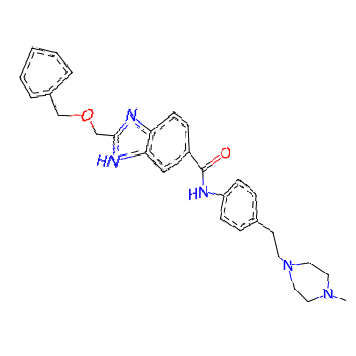 CN1CCN(CCc2ccc(NC(=O)c3ccc4nc(COCc5ccccc5)[nH]c4c3)cc2)CC1